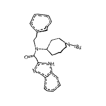 CCCCN1CCC(N(Cc2ccccc2)C(=O)c2nc3ccccc3[nH]2)CC1